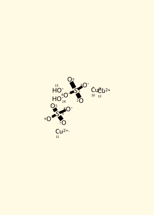 O=S(=O)([O-])[O-].O=S(=O)([O-])[O-].[Cu+2].[Cu+2].[Cu+2].[OH-].[OH-]